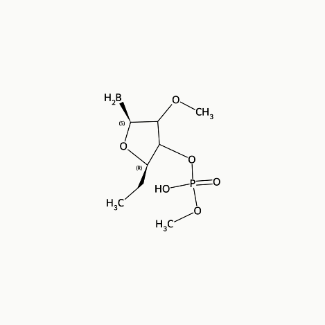 B[C@@H]1O[C@H](CC)C(OP(=O)(O)OC)C1OC